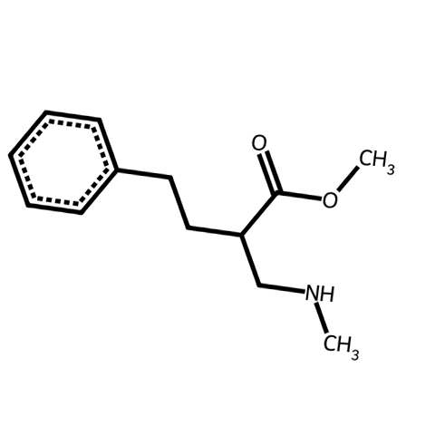 CNCC(CCc1ccccc1)C(=O)OC